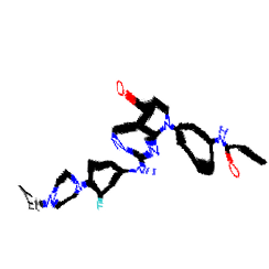 C=CC(=O)Nc1cccc(-n2ccc(=O)c3cnc(Nc4ccc(N5CCN(CC)CC5)c(F)c4)nc32)c1